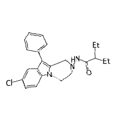 CCC(CC)C(=O)NN1CCn2c(c(-c3ccccc3)c3cc(Cl)ccc32)C1